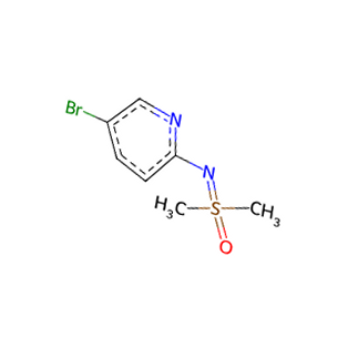 CS(C)(=O)=Nc1ccc(Br)cn1